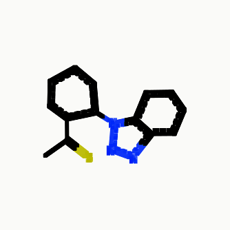 CC(=S)c1ccccc1-n1nnc2ccccc21